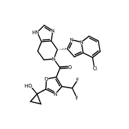 O=C(c1oc(C2(O)CC2)nc1C(F)F)N1CCc2[nH]cnc2[C@@H]1c1cc2c(Cl)cccn2n1